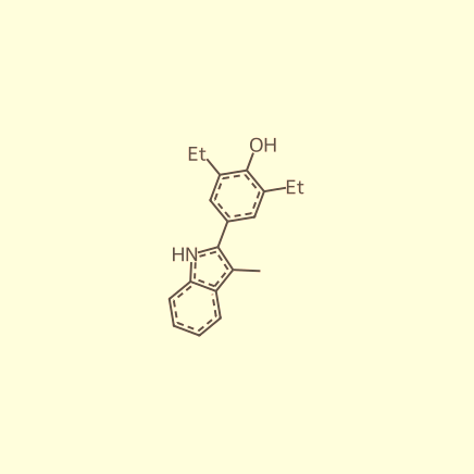 CCc1cc(-c2[nH]c3ccccc3c2C)cc(CC)c1O